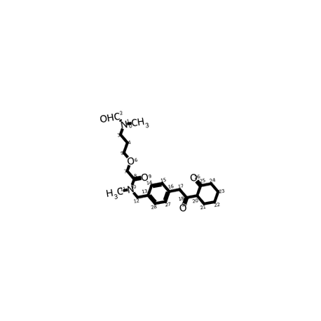 CN(C=O)CCCOCC(=O)N(C)Cc1ccc(CC(=O)C2CCCCC2=O)cc1